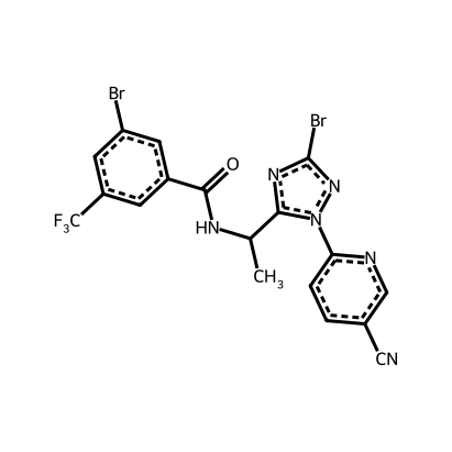 CC(NC(=O)c1cc(Br)cc(C(F)(F)F)c1)c1nc(Br)nn1-c1ccc(C#N)cn1